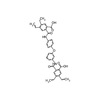 C=Cc1cc(C(=O)O)c(C(=O)Nc2ccc(Oc3cccc(NC(=O)c4cc(C=C)c(C=C)cc4C(=O)O)c3)cc2)cc1C=C